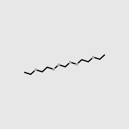 CCOCCOOCOOCCOCC